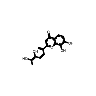 C=C(/C=C\C(O)=C(/C)O)c1cc(=O)c2ccc(O)c(O)c2o1